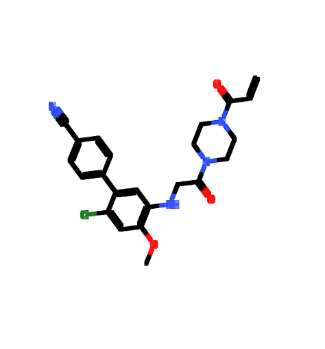 C=CC(=O)N1CCN(C(=O)CNc2cc(-c3ccc(C#N)cc3)c(Cl)cc2OC)CC1